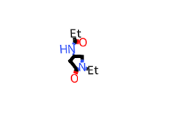 CCC(=O)N[C@@H]1CC(=O)N(CC)C1